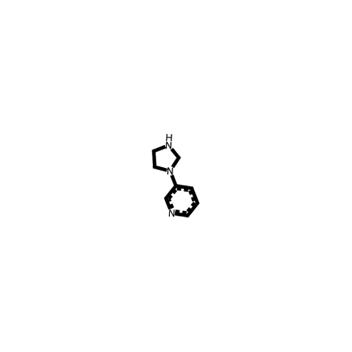 c1cncc(N2CCNC2)c1